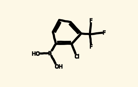 OB(O)c1cccc(C(F)(F)F)c1Cl